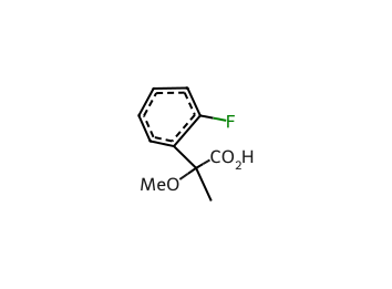 COC(C)(C(=O)O)c1ccccc1F